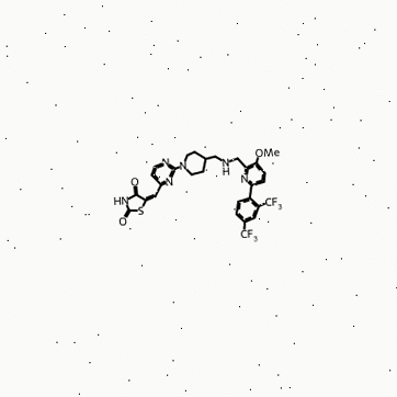 COc1ccc(-c2ccc(C(F)(F)F)cc2C(F)(F)F)nc1CNCC1CCN(c2nccc(C=C3SC(=O)NC3=O)n2)CC1